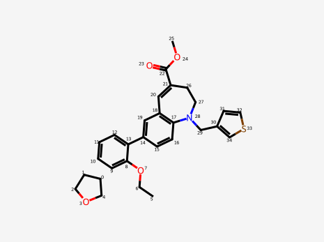 C1CCOC1.CCOc1ccccc1-c1ccc2c(c1)C=C(C(=O)OC)CCN2Cc1ccsc1